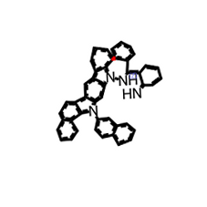 N=C1C=CC=C/C1=C(/Nn1c2ccccc2c2cc3c4ccc5ccccc5c4n(-c4ccc5ccccc5c4)c3cc21)c1ccccc1